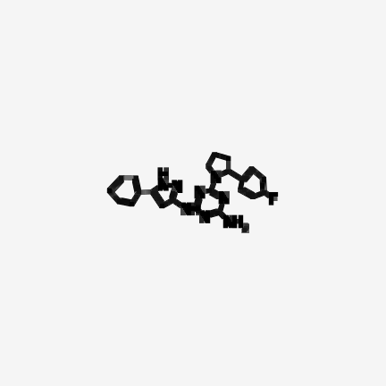 Nc1nc(Nc2cc(-c3ccccc3)[nH]n2)nc(N2CCCC2c2ccc(F)cc2)n1